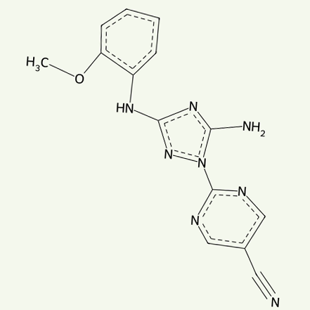 COc1ccccc1Nc1nc(N)n(-c2ncc(C#N)cn2)n1